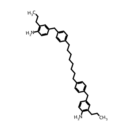 CCCc1cc(Cc2ccc(CCCCCCCCc3ccc(Cc4ccc(N)c(CCC)c4)cc3)cc2)ccc1N